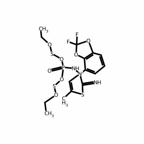 CCOSOP(=O)(N[N+]1(c2cccc3c2OC(F)(F)O3)C=C(C)SC1=N)OSOCC